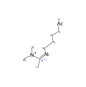 CC(=O)CCCC/N=C(/C)N(C)C